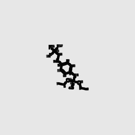 CCOP(=S)(OCC)Sc1ccc(SCC(F)(F)F)cc1